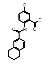 O=C(Nc1ccc(Cl)cc1C(=O)O)c1ccc2c(c1)CCCC2